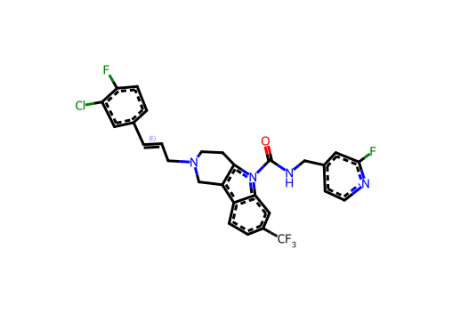 O=C(NCc1ccnc(F)c1)n1c2c(c3ccc(C(F)(F)F)cc31)CN(C/C=C/c1ccc(F)c(Cl)c1)CC2